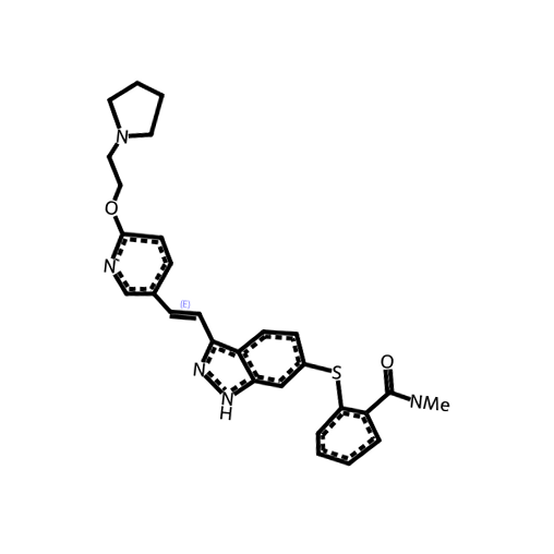 CNC(=O)c1ccccc1Sc1ccc2c(/C=C/c3ccc(OCCN4CCCC4)nc3)n[nH]c2c1